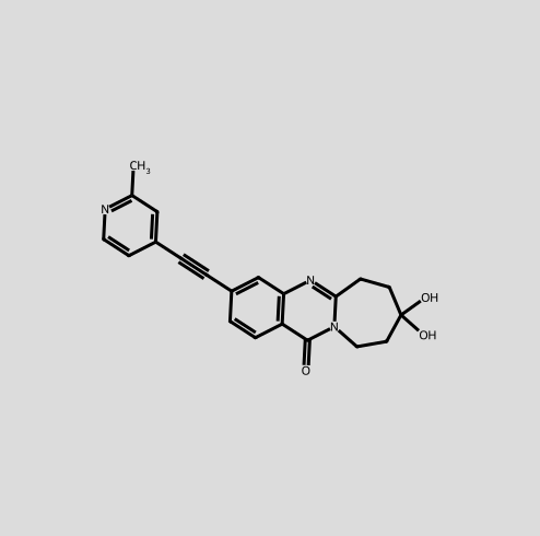 Cc1cc(C#Cc2ccc3c(=O)n4c(nc3c2)CCC(O)(O)CC4)ccn1